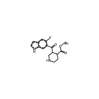 CC(C)(C)OC(=O)N1CCNCC1C(=O)c1cc2[nH]ccc2cc1F